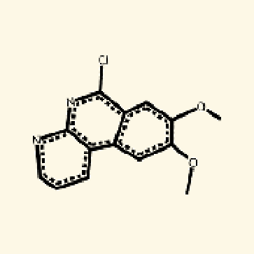 COc1cc2c(Cl)nc3ncccc3c2cc1OC